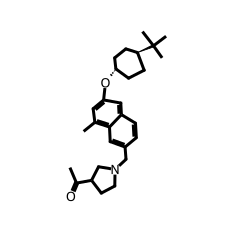 CC(=O)C1CCN(Cc2ccc3cc(O[C@H]4CC[C@H](C(C)(C)C)CC4)cc(C)c3c2)C1